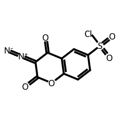 [N-]=[N+]=C1C(=O)Oc2ccc(S(=O)(=O)Cl)cc2C1=O